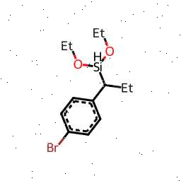 CCO[SiH](OCC)C(CC)c1ccc(Br)cc1